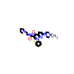 CN1CCN(c2ccc3c(=O)c(C(=O)NCCN4CCCC4)c4sc5ccccc5n4c3n2)CC1